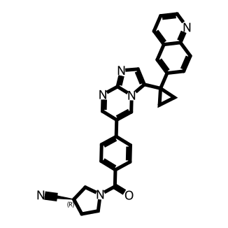 N#C[C@@H]1CCN(C(=O)c2ccc(-c3cnc4ncc(C5(c6ccc7ncccc7c6)CC5)n4c3)cc2)C1